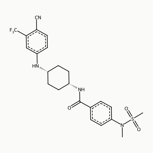 CN(c1ccc(C(=O)N[C@H]2CC[C@@H](Nc3ccc(C#N)c(C(F)(F)F)c3)CC2)cc1)S(C)(=O)=O